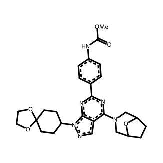 COC(=O)Nc1ccc(-c2nc(N3CC4CCC(C3)O4)c3cnn(C4CCC5(CC4)OCCO5)c3n2)cc1